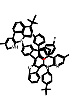 CC1=CC(c2ccccc2)=C(N(c2ccc(C(C)(C)C)cc2)c2ccc3c(c2)C(c2cccc(F)c2)(c2cccc(F)c2)c2cc(N(c4ccc(C(C)(C)C)cc4)c4ncc(C)cc4-c4ccccc4)c4c(oc5ccccc54)c2-3)NC1